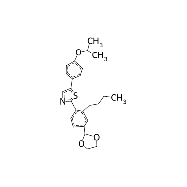 CCCCc1cc(C2OCCO2)ccc1-c1ncc(-c2ccc(OC(C)C)cc2)s1